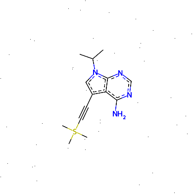 CC(C)n1cc(C#CS(C)(C)C)c2c(N)ncnc21